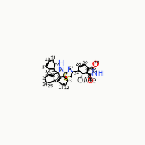 COc1c(-c2csc(NC(c3ccccc3)(c3ccccc3)c3ccccc3)n2)ccc2c1C(=O)NC2=O